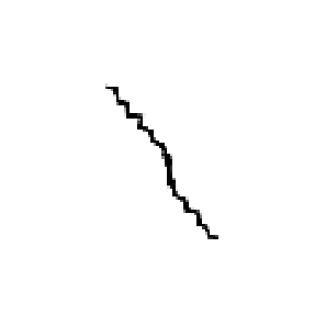 CCCCCCCCC#CC#CCCCCCCCCCC